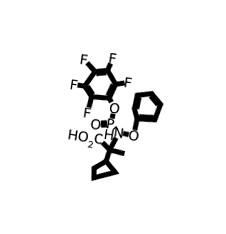 CC(C(=O)O)(C1CCC1)N(Oc1ccccc1)[PH](=O)Oc1c(F)c(F)c(F)c(F)c1F